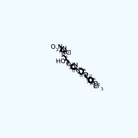 O=[N+]([O-])c1cn(CCC(O)COc2ccc(N3CCC(OCc4ccc(OC(F)(F)F)cc4)CC3)nc2)c(Cl)n1